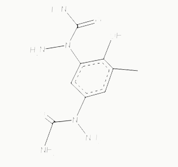 Cc1cc(N(N)C(N)=O)cc(N(N)C(N)=O)c1O